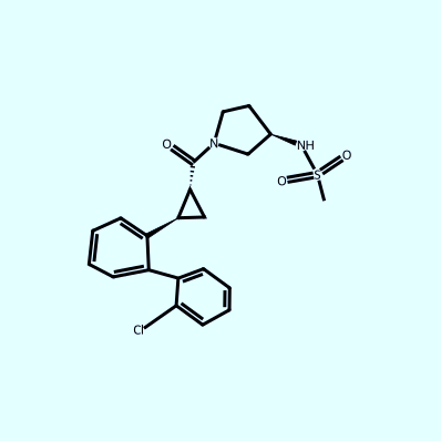 CS(=O)(=O)N[C@@H]1CCN(C(=O)[C@@H]2C[C@H]2c2ccccc2-c2ccccc2Cl)C1